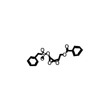 O=C(OCC1OC12OC2OS(=O)(=O)Cc1ccccc1)c1ccccc1